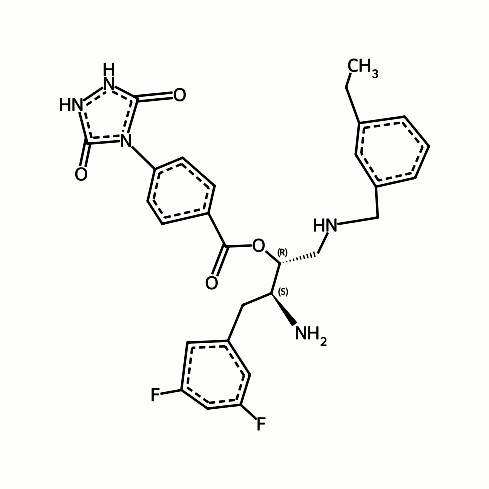 CCc1cccc(CNC[C@@H](OC(=O)c2ccc(-n3c(=O)[nH][nH]c3=O)cc2)[C@@H](N)Cc2cc(F)cc(F)c2)c1